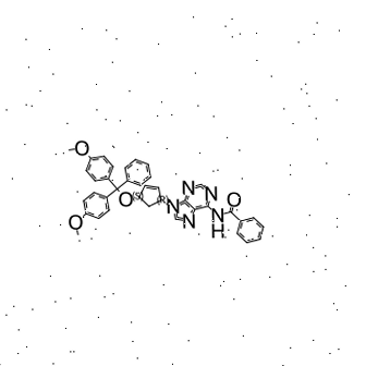 COc1ccc(C(O[C@@H]2C=C[C@H](n3cnc4c(NC(=O)c5ccccc5)ncnc43)C2)(c2ccccc2)c2ccc(OC)cc2)cc1